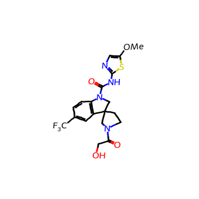 COc1cnc(NC(=O)N2CC3(CCN(C(=O)CO)C3)c3cc(C(F)(F)F)ccc32)s1